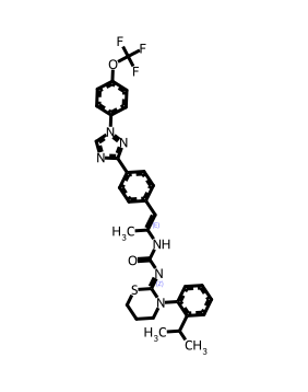 C/C(=C\c1ccc(-c2ncn(-c3ccc(OC(F)(F)F)cc3)n2)cc1)NC(=O)/N=C1\SCCCN1c1ccccc1C(C)C